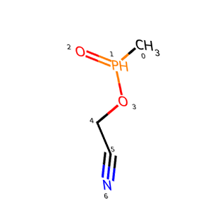 C[PH](=O)OCC#N